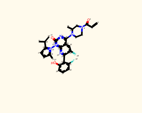 C=CC(=O)N1CCN(c2nc(=O)n(-n3c(C)ccc3C(C)C)c3nc(-c4c(O)cccc4F)c(F)cc23)C(C)C1